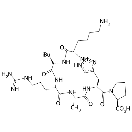 CC[C@H](C)[C@H](NC(=O)[C@@H](N)CCCCN)C(=O)N[C@@H](CCCNC(=N)N)C(=O)N[C@@H](C)C(=O)N[C@@H](Cc1c[nH]cn1)C(=O)N1CCC[C@H]1C(=O)O